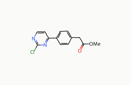 COC(=O)Cc1ccc(-c2ccnc(Cl)n2)cc1